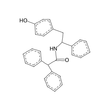 O=C(NC(Cc1ccc(O)cc1)c1ccccc1)C(c1ccccc1)c1ccccc1